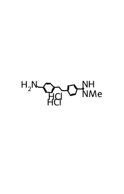 CNC(=N)c1ccc(CCc2ccc(CN)cc2)cc1.Cl.Cl